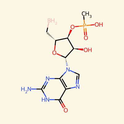 BC[C@H]1O[C@@H](n2cnc3c(=O)[nH]c(N)nc32)[C@H](O)[C@@H]1OP(C)(=O)O